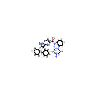 O=C(Nc1ccccc1N1CCNCC1)c1ccn2ncc(-c3ccccc3-c3ccccc3)c2n1